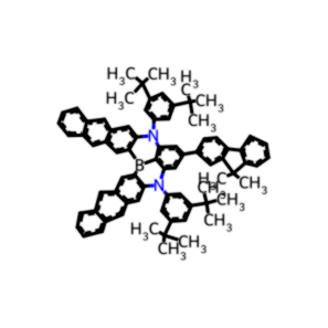 CC(C)(C)c1cc(N2c3cc4cc5ccccc5cc4cc3B3c4cc5cc6ccccc6cc5cc4N(c4cc(C(C)(C)C)cc(C(C)(C)C)c4)c4cc(-c5ccc6c(c5)C(C)(C)c5ccccc5-6)cc2c43)cc(C(C)(C)C)c1